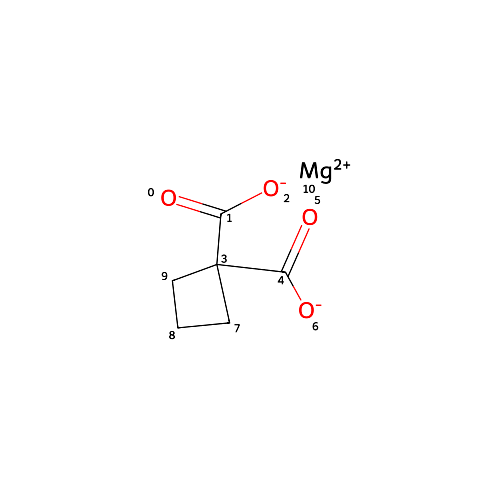 O=C([O-])C1(C(=O)[O-])CCC1.[Mg+2]